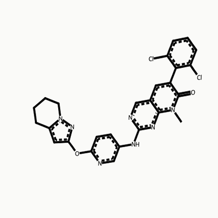 Cn1c(=O)c(-c2c(Cl)cccc2Cl)cc2cnc(Nc3ccc(Oc4cc5n(n4)CCCC5)nc3)nc21